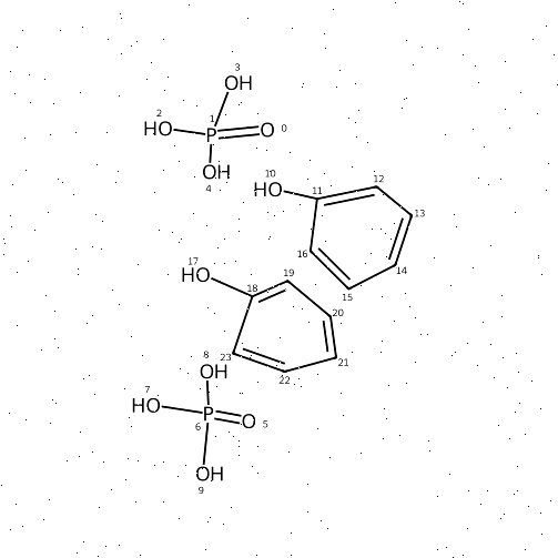 O=P(O)(O)O.O=P(O)(O)O.Oc1ccccc1.Oc1ccccc1